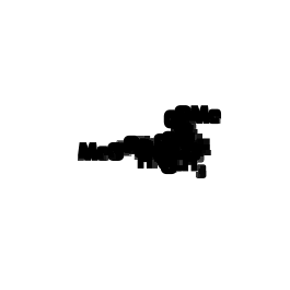 COCCOc1ccc(C2NC(=O)N([C@H](C(=O)Nc3nc(C(=O)OC)cs3)[C@@H](C)c3ccc(F)cc3)C2=O)cc1